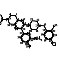 CC(=O)N1CCc2nc(N3CCN(Cc4ccc(Cl)cc4F)CC3)c(-c3ccc(F)c(N)n3)nc2C1